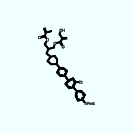 C=C(C)C(=O)OCC(COC(=O)C(=C)CO)CC1CCC(c2ccc(-c3ccc(-c4ccc(CCCCC)cc4)c(CC)c3)cc2)CC1